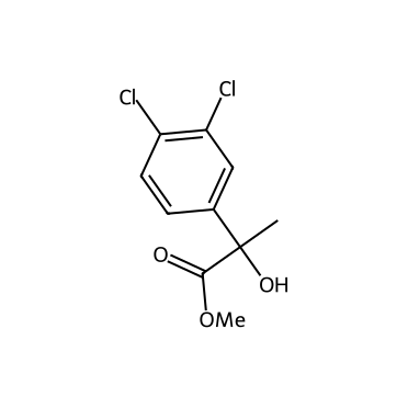 COC(=O)C(C)(O)c1ccc(Cl)c(Cl)c1